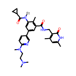 CCN(C(=O)C1CC1)c1cc(-c2ccc(N(C)CCN(C)C)nc2)cc(C(=O)NCc2c(C)cc(C)[nH]c2=O)c1C